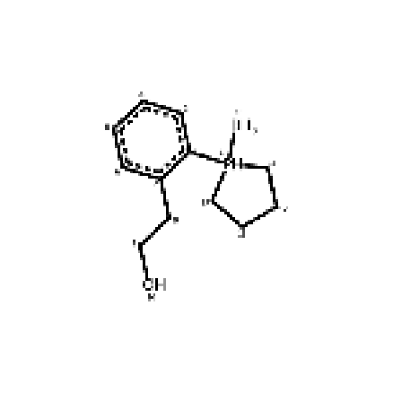 B[PH]1(c2ccccc2CCO)CCCC1